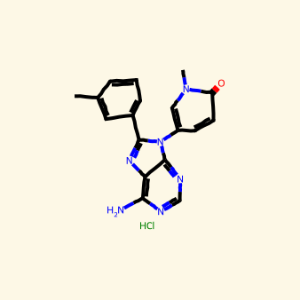 Cc1cccc(-c2nc3c(N)ncnc3n2-c2ccc(=O)n(C)c2)c1.Cl